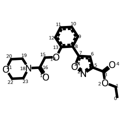 CCOC(=O)c1cc(-c2ccccc2OCC(=O)N2CCOCC2)on1